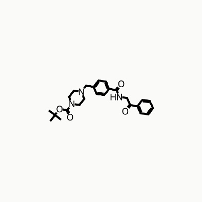 CC(C)(C)OC(=O)N1CCN(Cc2ccc(C(=O)NCC(=O)c3ccccc3)cc2)CC1